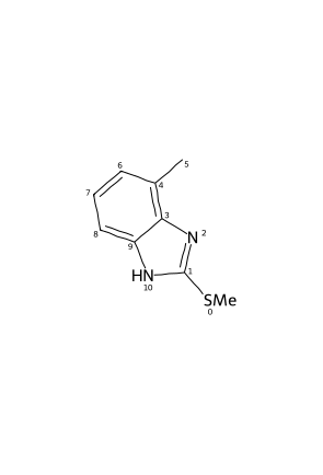 CSc1nc2c(C)cccc2[nH]1